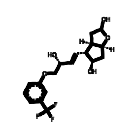 OC1C[C@@H]2[C@@H](/C=C/[C@@H](O)COc3cccc(C(F)(F)F)c3)[C@H](O)C[C@@H]2O1